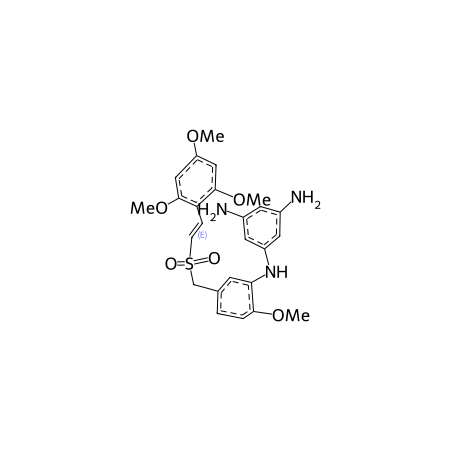 COc1cc(OC)c(/C=C/S(=O)(=O)Cc2ccc(OC)c(Nc3cc(N)cc(N)c3)c2)c(OC)c1